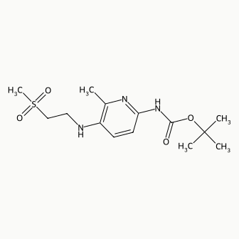 Cc1nc(NC(=O)OC(C)(C)C)ccc1NCCS(C)(=O)=O